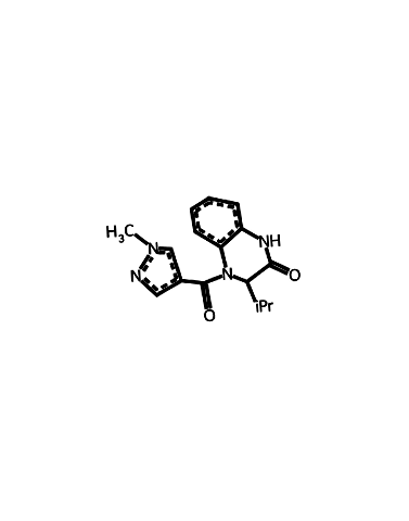 CC(C)C1C(=O)Nc2ccccc2N1C(=O)c1cnn(C)c1